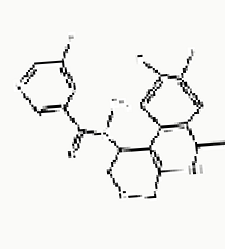 CN(C(=O)c1cncc(F)c1)C1COCc2[nH]c(=O)c3cc(F)c(F)cc3c21